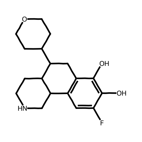 Oc1c(F)cc2c(c1O)CC(C1CCOCC1)C1CCNCC21